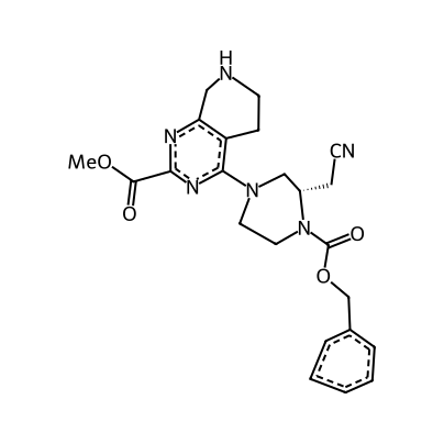 COC(=O)c1nc2c(c(N3CCN(C(=O)OCc4ccccc4)[C@@H](CC#N)C3)n1)CCNC2